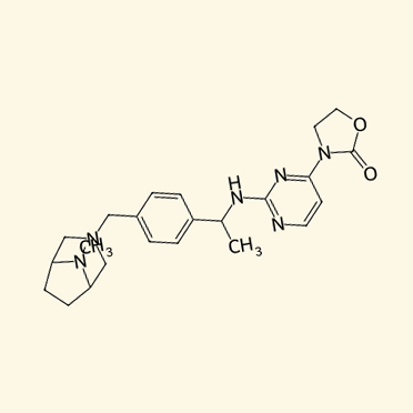 CC(Nc1nccc(N2CCOC2=O)n1)c1ccc(CN2CC3CCC(C2)N3C)cc1